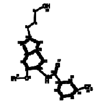 CC(C)Oc1cc2nn(CCCO)cc2cc1NC(=O)c1cccc(C(F)(F)F)n1